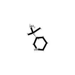 CC(C)(N)[C@@H]1CCCNC1